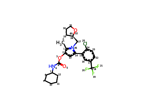 Cc1c(OC(=O)NC2CCCCC2)cc(-c2cc(C(F)(F)F)ccc2Cl)n1C[C@H]1CCCO1